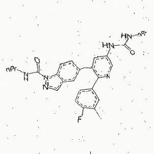 CCCNC(=O)Nc1cnc(-c2ccc(F)c(C)c2)c(-c2ccc3c(cnn3C(=O)NCCC)c2)c1